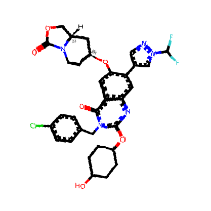 O=C1OC[C@@H]2C[C@@H](Oc3cc4c(=O)n(Cc5ccc(Cl)cc5)c(OC5CCC(O)CC5)nc4cc3-c3cnn(C(F)F)c3)CCN12